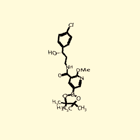 COc1ncc(B2OC(C)(C)C(C)(C)O2)cc1C(=O)NCC[C@H](O)c1ccc(Cl)cc1